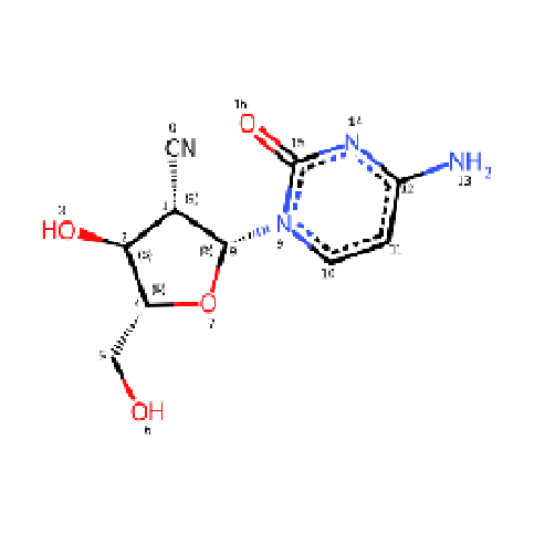 N#C[C@H]1[C@H](O)[C@@H](CO)O[C@H]1n1ccc(N)nc1=O